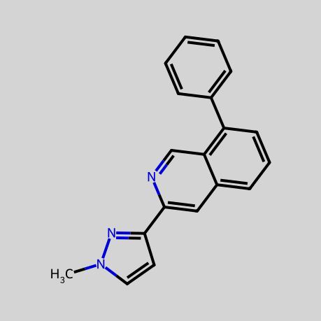 Cn1ccc(-c2cc3cccc(-c4ccccc4)c3cn2)n1